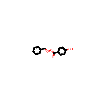 O=C(OOCc1ccccc1)c1ccc(O)cc1